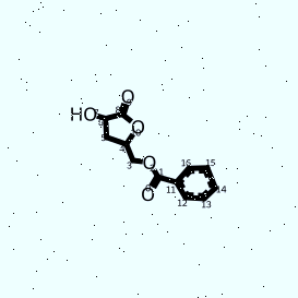 O=C(OCC1CC(O)C(=O)O1)c1ccccc1